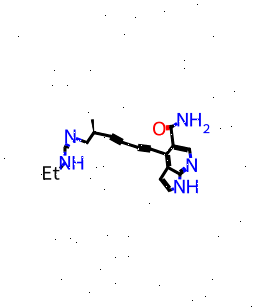 CCN/C=N\C[C@@H](C)C#CC#Cc1c(C(N)=O)cnc2[nH]ccc12